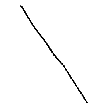 C#CC#CC#CC#CC#CC#CC#CC#CC#CC#CC#CC#CC#CC#CC#CC#CC#CC#CC#CC#CC#CC#CC#CC#CC#CC#CC#CC#CC#CC#CC#CC#CC#CC#CC#CC#CC#CC#CC#N